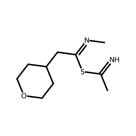 C/N=C(/CC1CCOCC1)SC(C)=N